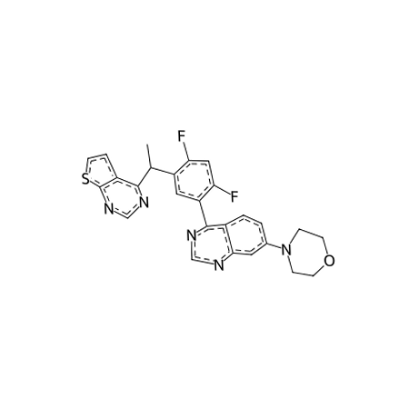 CC(c1cc(-c2ncnc3cc(N4CCOCC4)ccc23)c(F)cc1F)c1ncnc2sccc12